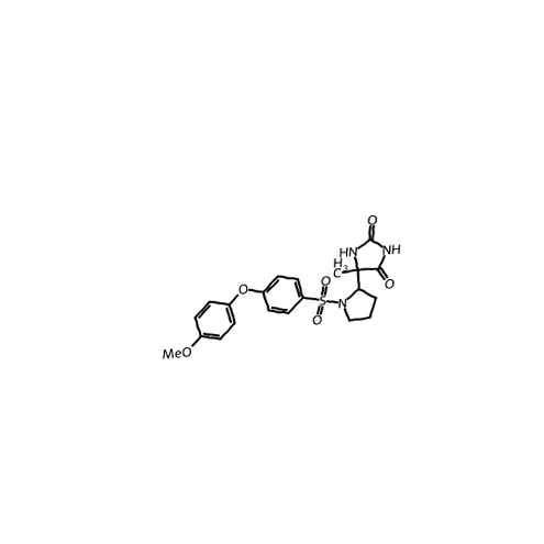 COc1ccc(Oc2ccc(S(=O)(=O)N3CCCC3C3(C)NC(=O)NC3=O)cc2)cc1